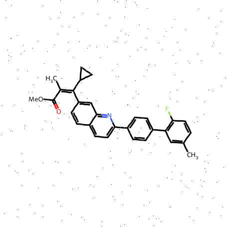 COC(=O)/C(C)=C(\c1ccc2ccc(-c3ccc(-c4cc(C)ccc4F)cc3)nc2c1)C1CC1